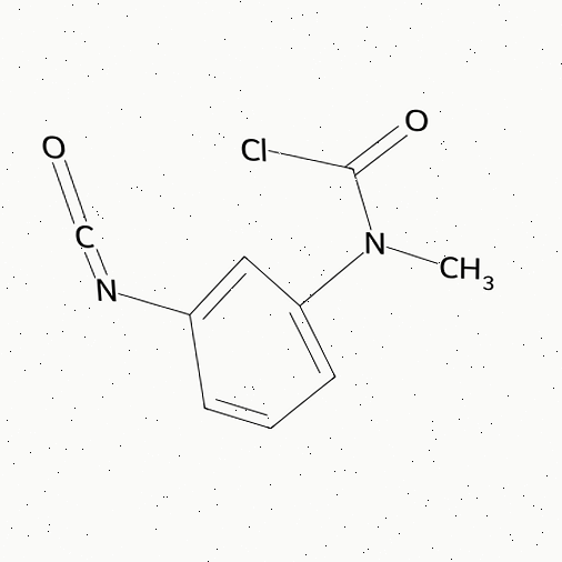 CN(C(=O)Cl)c1cccc(N=C=O)c1